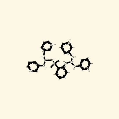 C[Si](C)(OP(Oc1cccnc1)Oc1cccnc1)c1ccccc1OP(Oc1cccnc1)Oc1cccnc1